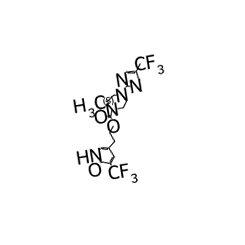 C[C@H]1CN(c2ncc(C(F)(F)F)cn2)CCN1C(=O)OCCc1c[nH]c(=O)c(C(F)(F)F)c1